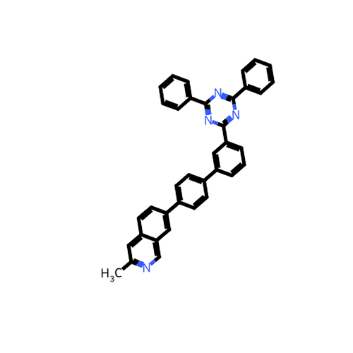 Cc1cc2ccc(-c3ccc(-c4cccc(-c5nc(-c6ccccc6)nc(-c6ccccc6)n5)c4)cc3)cc2cn1